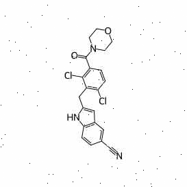 N#Cc1ccc2[nH]c(Cc3c(Cl)ccc(C(=O)N4CCOCC4)c3Cl)cc2c1